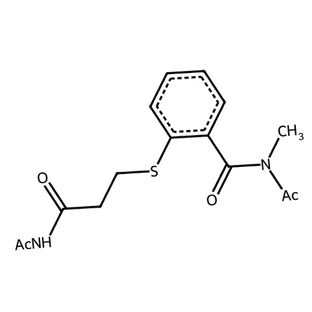 CC(=O)NC(=O)CCSc1ccccc1C(=O)N(C)C(C)=O